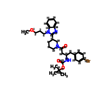 COCCCn1c([C@@H]2CCCN(C(=O)C[C@@H](Cc3ccc(Br)cc3)NC(=O)OC(C)(C)C)C2)nc2ccccc21